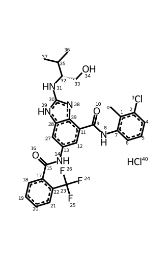 Cc1c(Cl)cccc1NC(=O)c1cc(NC(=O)c2ccccc2C(F)(F)F)cc2[nH]c(N[C@@H](CO)C(C)C)nc12.Cl